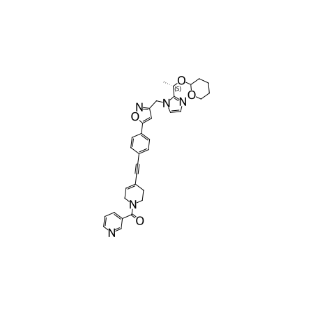 C[C@H](OC1CCCCO1)c1nccn1Cc1cc(-c2ccc(C#CC3=CCN(C(=O)c4cccnc4)CC3)cc2)on1